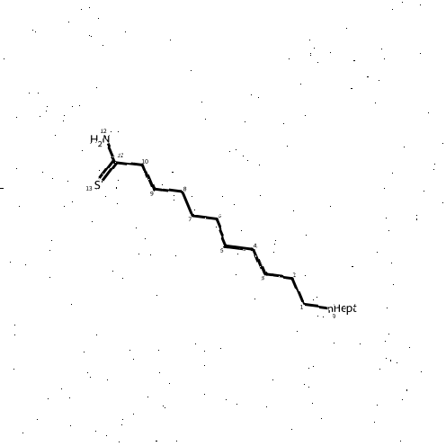 CCCCCCCCCCCCCCCCCC(N)=S